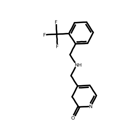 O=C1CC(CNCc2ccccc2C(F)(F)F)=CC=N1